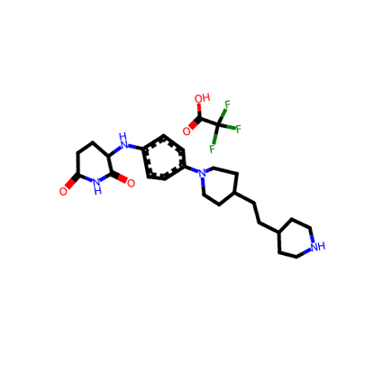 O=C(O)C(F)(F)F.O=C1CCC(Nc2ccc(N3CCC(CCC4CCNCC4)CC3)cc2)C(=O)N1